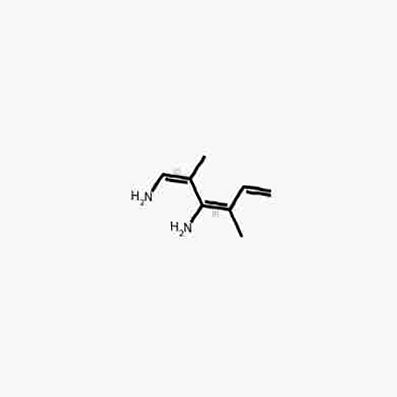 C=C/C(C)=C(N)\C(C)=C/N